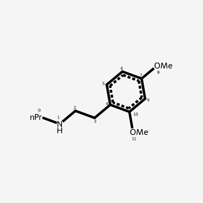 CCCNCCc1ccc(OC)cc1OC